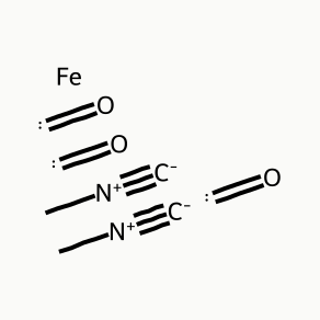 [C-]#[N+]C.[C-]#[N+]C.[C]=O.[C]=O.[C]=O.[Fe]